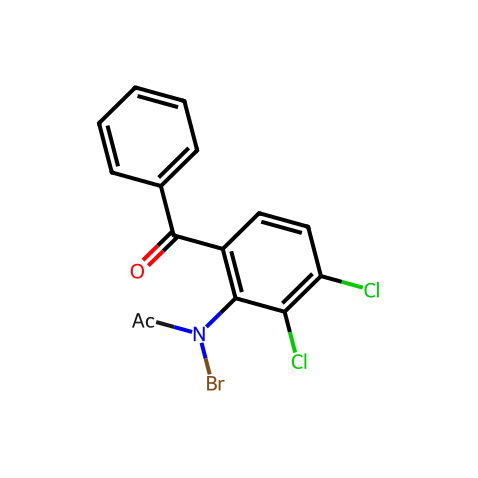 CC(=O)N(Br)c1c(C(=O)c2ccccc2)ccc(Cl)c1Cl